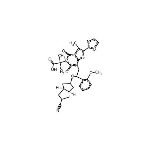 COc1ccccc1C(Cn1c(=O)n(C(C)(C)C(=O)O)c(=O)c2c(C)c(-c3ncco3)sc21)O[C@H]1C[C@H]2CC(C#N)C[C@H]2C1